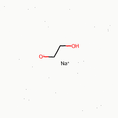 [Na+].[O-]CCO